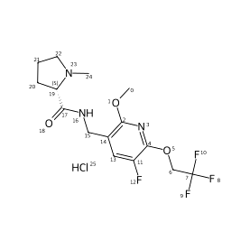 COc1nc(OCC(F)(F)F)c(F)cc1CNC(=O)[C@@H]1CCCN1C.Cl